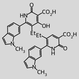 CCc1c(-c2ccc3ccn(C)c3c2)[nH]c(=O)c(C(=O)O)c1O.CCc1cc(C(=O)O)c(=O)[nH]c1-c1ccc2ccn(C)c2c1